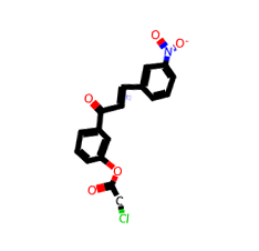 O=C(CCl)Oc1cccc(C(=O)/C=C/c2cccc([N+](=O)[O-])c2)c1